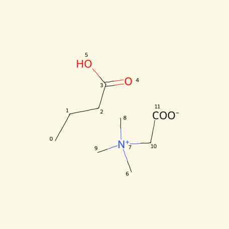 CCCC(=O)O.C[N+](C)(C)CC(=O)[O-]